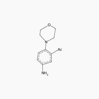 CC(=O)c1cc(N)ccc1N1CCOCC1